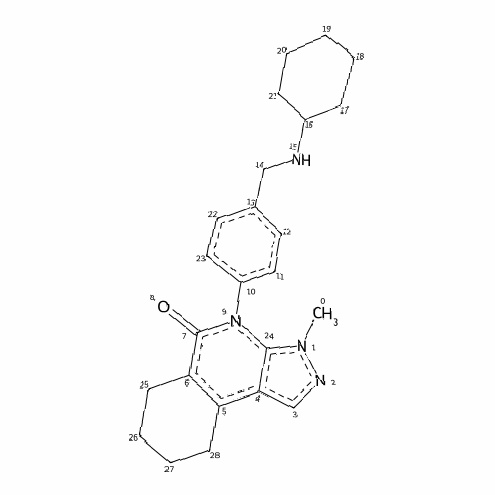 Cn1ncc2c3c(c(=O)n(-c4ccc(CNC5CCCCC5)cc4)c21)CCCC3